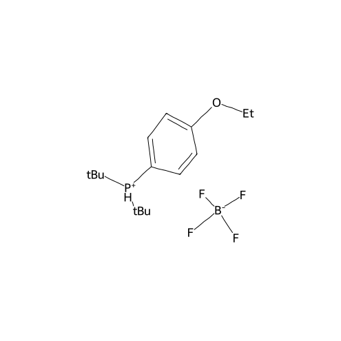 CCOc1ccc([PH+](C(C)(C)C)C(C)(C)C)cc1.F[B-](F)(F)F